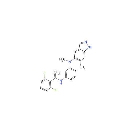 C=C(Nc1cccc(N(C)c2cc3cn[nH]c3cc2C)c1)c1c(F)cccc1F